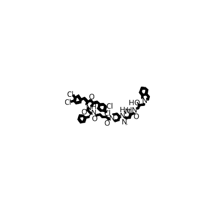 C=N/C(=C\C(=N/C)NC1CCN(C(=O)CCCC(=O)N[C@@H](Cc2ccccc2)C(=O)N2C/C(=C\c3ccc(Cl)c(Cl)c3)C(=O)/C(=C/c3ccc(Cl)c(Cl)c3)C2)CC1)C(=O)NC[C@@H](O)CN1CCc2ccccc2C1